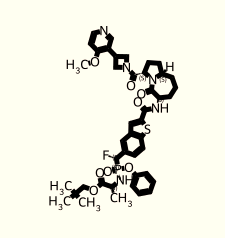 COc1ccncc1C1CN(C(=O)[C@@H]2CC[C@@H]3CCC[C@H](NC(=O)c4cc5cc([C@@H](F)[P@@](=O)(N[C@@H](C)C(=O)OCC(C)(C)C)Oc6ccccc6)ccc5s4)C(=O)N32)C1